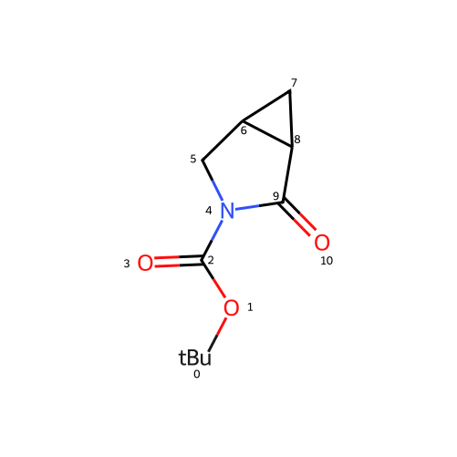 CC(C)(C)OC(=O)N1CC2CC2C1=O